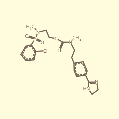 CN(CCc1ccc(C2=NCCN2)cc1)C(=O)CCCN(C)S(=O)(=O)c1ccccc1Cl